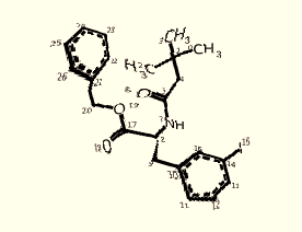 CC(C)(C)CC(=O)N[C@@H](Cc1cccc(I)c1)C(=O)OCc1ccccc1